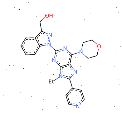 CCn1c(-c2ccncc2)nc2c(N3CCOCC3)nc(-n3nc(CO)c4ccccc43)nc21